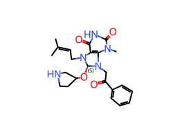 CC(C)=CCN1c2c(n(C)c(=O)[nH]c2=O)N(CC(=O)c2ccccc2)[C@H]1OC1CCNC1